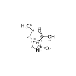 CCC[C@H]1CNC(=O)[C@@H]1C(=O)O